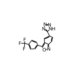 FC(F)(F)c1ccc(-c2onc3ccc(-c4nnn[nH]4)cc23)cc1